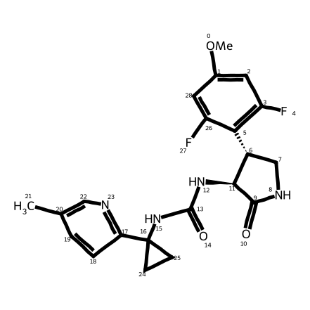 COc1cc(F)c([C@@H]2CNC(=O)[C@H]2NC(=O)NC2(c3ccc(C)cn3)CC2)c(F)c1